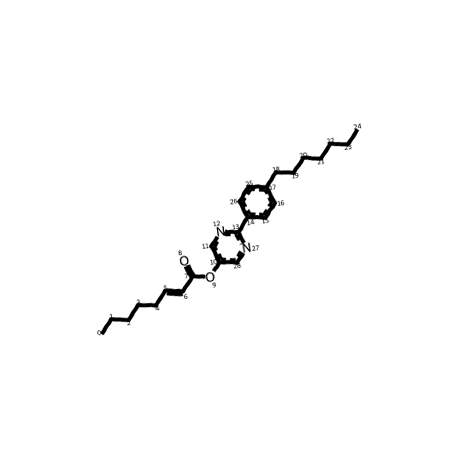 CCCCC/C=C/C(=O)Oc1cnc(-c2ccc(CCCCCCC)cc2)nc1